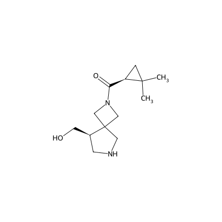 CC1(C)C[C@@H]1C(=O)N1CC2(CNC[C@H]2CO)C1